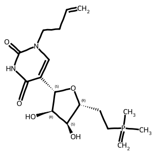 C=CCCn1cc([C@@H]2O[C@H](CCP(=C)(C)C)[C@@H](O)[C@H]2O)c(=O)[nH]c1=O